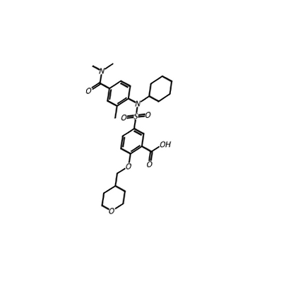 Cc1cc(C(=O)N(C)C)ccc1N(C1CCCCC1)S(=O)(=O)c1ccc(OCC2CCOCC2)c(C(=O)O)c1